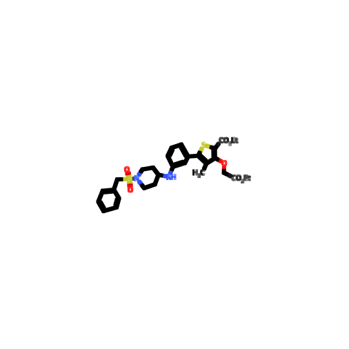 CCOC(=O)COc1c(C(=O)OCC)sc(-c2cccc(NC3CCN(S(=O)(=O)Cc4ccccc4)CC3)c2)c1C